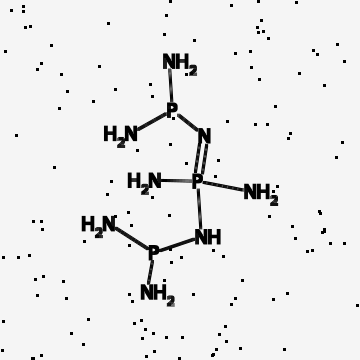 NP(N)N=P(N)(N)NP(N)N